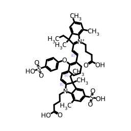 CCC1(C)C(/C=C/C2=C(Oc3ccc(S(=O)(=O)O)cc3)C(=C/C=C3/N(CCCC(=O)O)c4c(C)cc(S(=O)(=O)O)cc4C3(C)CC)/CCC2)=[N+](CCCC(=O)O)c2c(C)cc(C)cc21